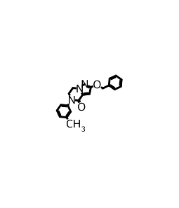 Cc1cccc(N2CCn3nc(OCc4ccccc4)cc3C2=O)c1